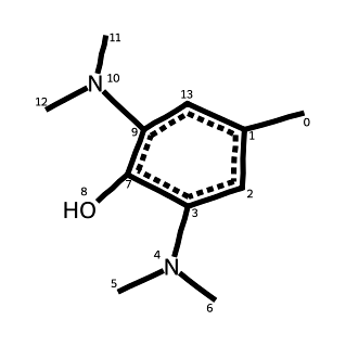 Cc1cc(N(C)C)c(O)c(N(C)C)c1